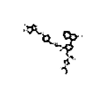 CCC(=O)N1CC(N(C=O)Cc2ccc(-c3cc(O)cc4ccccc34)cc2N(C)CCNCc2ccc(OCc3scc4c3CNC4=O)cc2)C1